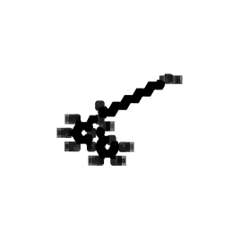 CCCCCCCCCCCCCCCCCCCC(=O)OC[C@H]1O[C@@H](O[C@H]2[C@H](O)[C@@H](O)[C@@H](O)O[C@@H]2CO)[C@H](O)[C@@H](O)[C@H]1O